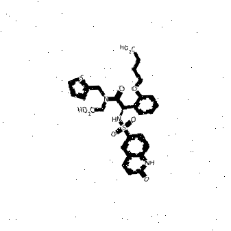 O=C(O)CCCOc1ccccc1[C@@H](NS(=O)(=O)c1ccc2[nH]c(=O)ccc2c1)C(=O)N(CC(=O)O)Cc1cccs1